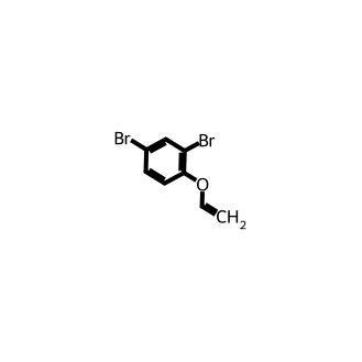 C=COc1ccc(Br)cc1Br